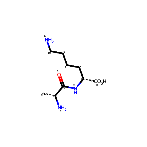 C[C@@H](N)C(=O)N[C@H](CCCCN)C(=O)O